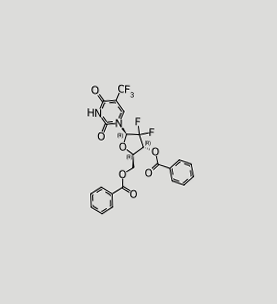 O=C(OC[C@H]1O[C@@H](n2cc(C(F)(F)F)c(=O)[nH]c2=O)C(F)(F)[C@@H]1OC(=O)c1ccccc1)c1ccccc1